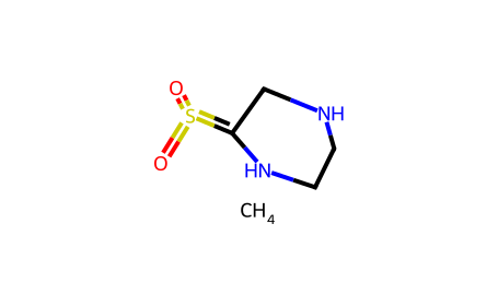 C.O=S(=O)=C1CNCCN1